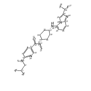 CN(CC(F)F)c1ccc(C(=O)[N+](=S)[C@H]2CC[C@@H](Nc3cccc4nc(C(F)F)cn34)CC2)cn1